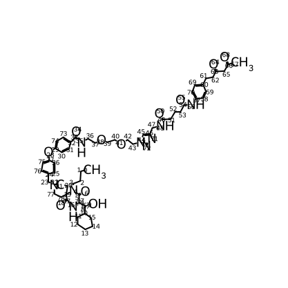 CCCCN1C(=O)[C@@H]([C@@H](O)C2CCCCC2)NC(=O)C12CCN(Cc1ccc(Oc3ccc(C(=O)NCCOCCOCCn4cc(CNC(=O)CCCC(=O)Nc5ccc(CCC(=O)CC(C)=O)cc5)nn4)cc3)cc1)CC2